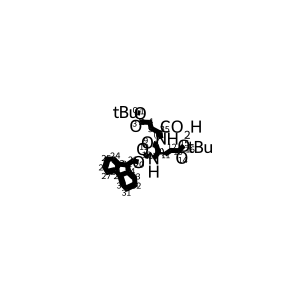 CC(C)(C)OC(=O)CC[C@@H](NC(=O)[C@@H](CCC(=O)OC(C)(C)C)NC(=O)OCC1c2ccccc2-c2ccccc21)C(=O)O